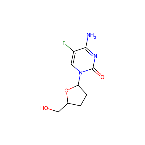 Nc1nc(=O)n(C2CCC(CO)O2)cc1F